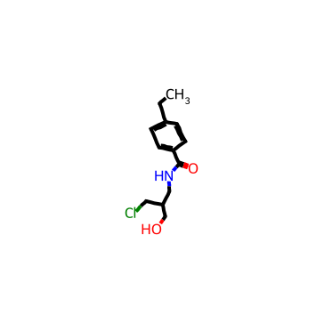 CCc1ccc(C(=O)NCC(CO)CCl)cc1